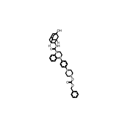 O=C(OCc1ccccc1)ON1CCN(c2ccc(N3CCN(C(=O)NC4[C@@H]5CC6C[C@H]4CC(O)(C6)C5)c4ccccc43)cc2)CC1